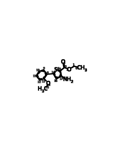 CCOC(=O)c1sc(-c2ccccc2OC)cc1N